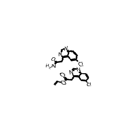 CCOC(=O)Cc1ncnc2ccc(Cl)cc12.NC(=O)Cc1ncnc2ccc(Cl)cc12